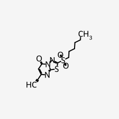 C#Cc1cc(=O)n2nc(S(=O)(=O)CCCCCC)sc2n1